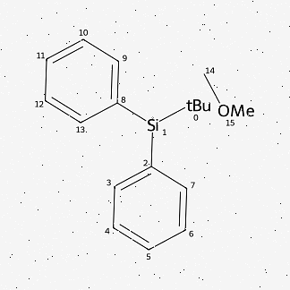 CC(C)(C)[Si](c1ccccc1)c1ccccc1.COC